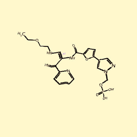 CCOCCN/C=C(/NC(=O)c1ccc(-c2cnn(COP(=O)(O)O)c2)o1)C(=N)c1ccccn1